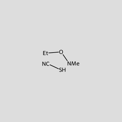 CCONC.N#CS